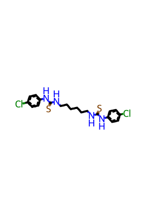 S=C(NCCCCCCNC(=S)Nc1ccc(Cl)cc1)Nc1ccc(Cl)cc1